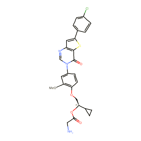 COc1cc(-n2cnc3cc(-c4ccc(Cl)cc4)sc3c2=O)ccc1OC[C@H](OC(=O)CN)C1CC1